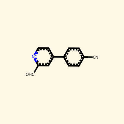 N#Cc1ccc(-c2ccnc(C=O)c2)cc1